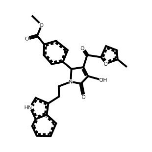 COC(=O)c1ccc(C2C(C(=O)c3ccc(C)o3)=C(O)C(=O)N2CCc2c[nH]c3ccccc23)cc1